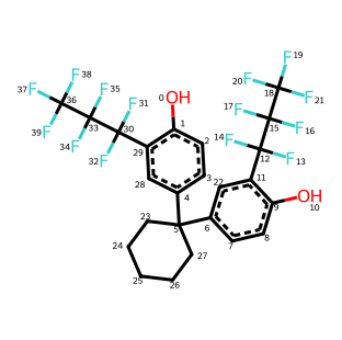 Oc1ccc(C2(c3ccc(O)c(C(F)(F)C(F)(F)C(F)(F)F)c3)CCCCC2)cc1C(F)(F)C(F)(F)C(F)(F)F